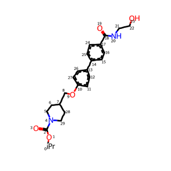 CC(C)OC(=O)N1CCC(COc2ccc(-c3ccc(C(=O)NCCO)cc3)cc2)CC1